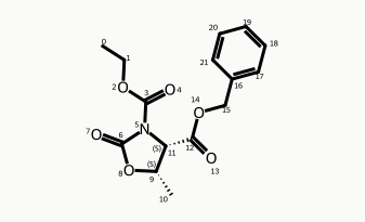 CCOC(=O)N1C(=O)O[C@@H](C)[C@H]1C(=O)OCc1ccccc1